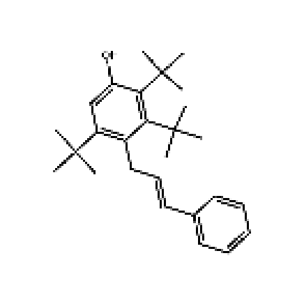 CC(C)(C)c1cc(O)c(C(C)(C)C)c(C(C)(C)C)c1CC=Cc1ccccc1